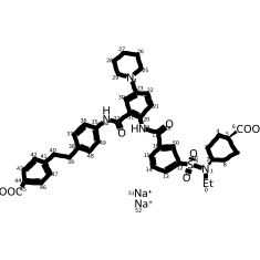 CCN([C@H]1CC[C@@H](C(=O)[O-])CC1)S(=O)(=O)c1cccc(C(=O)Nc2ccc(N3CCCCC3)cc2C(=O)Nc2ccc(CCc3ccc(C(=O)[O-])cc3)cc2)c1.[Na+].[Na+]